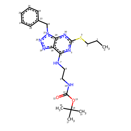 CCCSc1nc(NCCNC(=O)OC(C)(C)C)c2nnn(Cc3ccccc3)c2n1